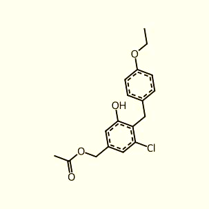 CCOc1ccc(Cc2c(O)cc(COC(C)=O)cc2Cl)cc1